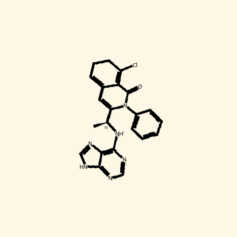 C[C@H](Nc1ncnc2[nH]cnc12)c1cc2c(c(=O)n1-c1ccccc1)=C(Cl)CCC=2